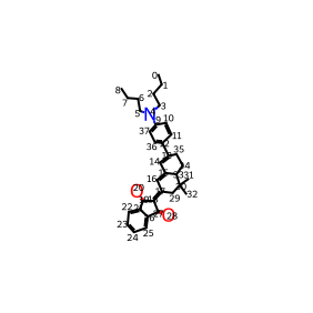 CCCCN(CCCC)c1ccc(C2=CC3=CC(=C4C(=O)c5ccccc5C4=O)CC(C)(C)C3CC2)cc1